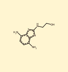 Nc1ccc(N)c2sc(NCCO)nc12